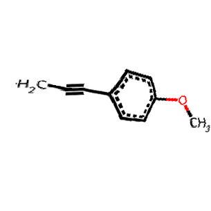 [CH2]C#Cc1ccc(OC)cc1